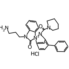 Cl.NCCCN1C(=O)[N+]2(c3ccc(-c4ccccc4)c(c3)N2C(=O)N2CCCCC2)c2ccccc21